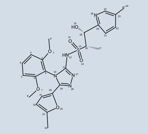 COc1cccc(OC)c1-n1c(NS(=O)(=O)[C@@H](C)[C@H](O)c2ccc(F)cn2)nnc1-c1ccc(C)o1